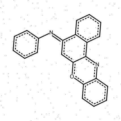 c1ccc(N=c2cc3oc4ccccc4nc-3c3ccccc23)cc1